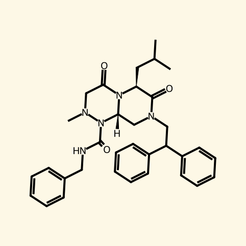 CC(C)C[C@H]1C(=O)N(CC(c2ccccc2)c2ccccc2)C[C@H]2N1C(=O)CN(C)N2C(=O)NCc1ccccc1